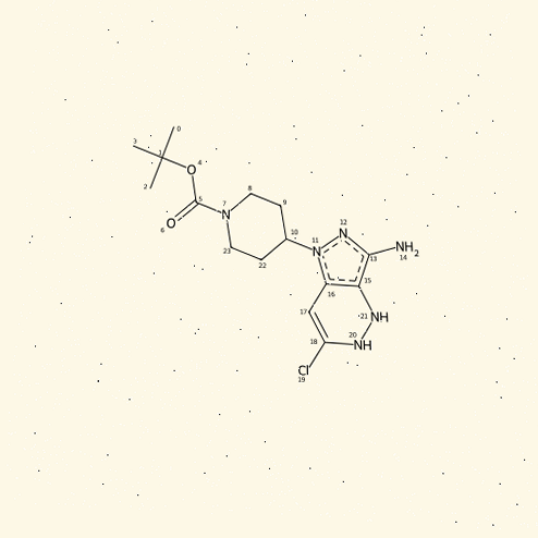 CC(C)(C)OC(=O)N1CCC(n2nc(N)c3c2C=C(Cl)NN3)CC1